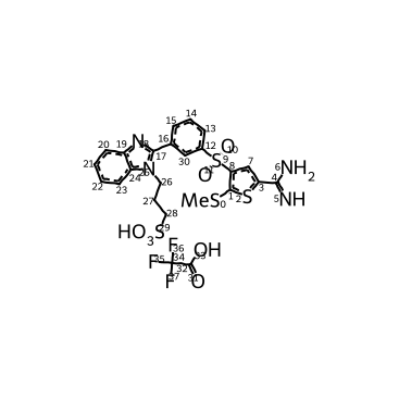 CSc1sc(C(=N)N)cc1S(=O)(=O)c1cccc(-c2nc3ccccc3n2CCCS(=O)(=O)O)c1.O=C(O)C(F)(F)F